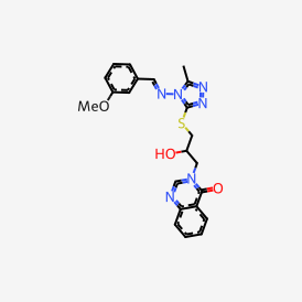 COc1cccc(C=Nn2c(C)nnc2SCC(O)Cn2cnc3ccccc3c2=O)c1